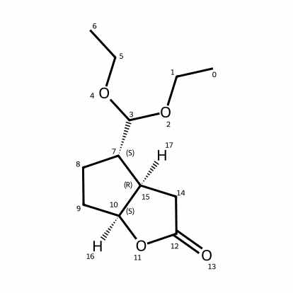 CCOC(OCC)[C@H]1CC[C@@H]2OC(=O)C[C@@H]21